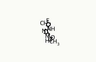 COC(=O)c1cc2c(Nc3ccc(F)c(Cl)c3)cncc2[nH]1